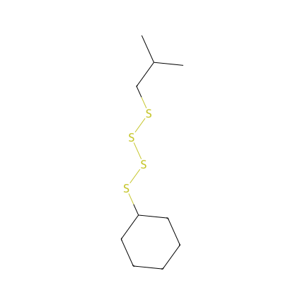 CC(C)CSSSSC1CCCCC1